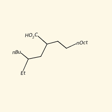 CCCCCCCCCCC(CC(CC)CCCC)C(=O)O